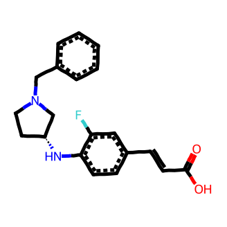 O=C(O)/C=C/c1ccc(N[C@@H]2CCN(Cc3ccccc3)C2)c(F)c1